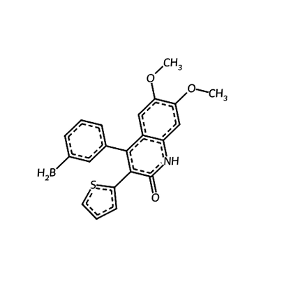 Bc1cccc(-c2c(-c3cccs3)c(=O)[nH]c3cc(OC)c(OC)cc23)c1